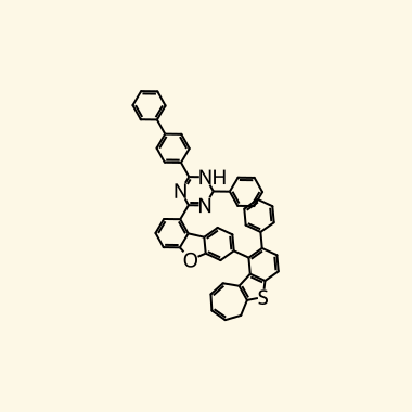 C1=CCc2sc3ccc(-c4ccccc4)c(-c4ccc5c(c4)oc4cccc(C6=NC(c7ccccc7)NC(c7ccc(-c8ccccc8)cc7)=N6)c45)c3c2C=C1